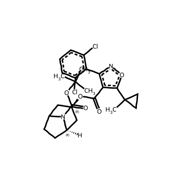 CC(C)(C)OC(=O)N1C2CC[C@@H]1C[C@H](OC(=O)c1c(-c3c(Cl)cccc3Cl)noc1C1(C)CC1)C2